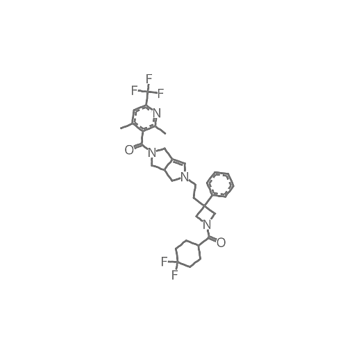 Cc1cc(C(F)(F)F)nc(C)c1C(=O)N1CC2=CN(CCC3(c4ccccc4)CN(C(=O)C4CCC(F)(F)CC4)C3)CC2C1